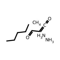 C.CCCCC.N.N.O=C=CC=O